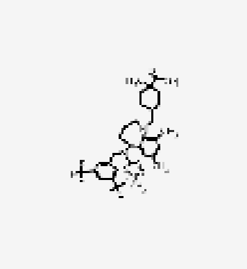 Cc1cc(C)c2c(c1)[C@@H](N(Cc1cc(C(F)(F)F)cc(C(F)(F)F)c1)c1nnn(C)n1)CCCN2CC1CCC(C)(C(=O)O)CC1